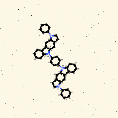 c1ccc(-n2ccc3cc4c(cc32)c2ccccc2n4-c2ccc(-n3c4ccccc4c4cc5c(ccn5-c5ccccc5)cc43)cc2)cc1